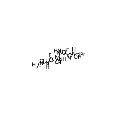 CC(C)CC(O)Nc1cncc(-c2cc3c(-c4nc5c(-c6cc(F)cc(NCCN(C)C)c6)ccnc5[nH]4)n[nH]c3cc2F)c1